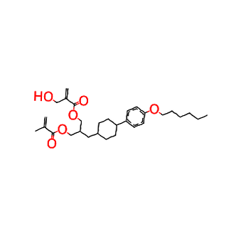 C=C(C)C(=O)OCC(COC(=O)C(=C)CO)CC1CCC(c2ccc(OCCCCCC)cc2)CC1